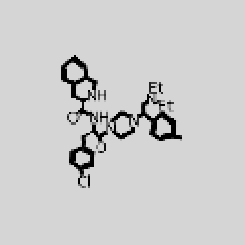 CCN(CC)CC(c1ccc(C)cc1)N1CCN(C(=O)[C@@H](Cc2ccc(Cl)cc2)NC(=O)[C@H]2CC3C=CC=CC3CN2)CC1